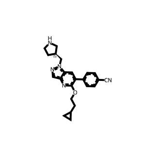 N#Cc1ccc(-c2cc3c(cnn3C[C@H]3CCNC3)nc2OCCC2CC2)cc1